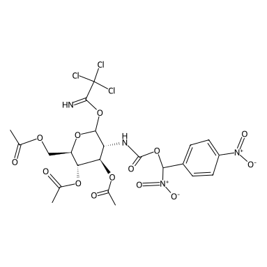 CC(=O)OC[C@H]1OC(OC(=N)C(Cl)(Cl)Cl)[C@H](NC(=O)OC(c2ccc([N+](=O)[O-])cc2)[N+](=O)[O-])[C@@H](OC(C)=O)[C@@H]1OC(C)=O